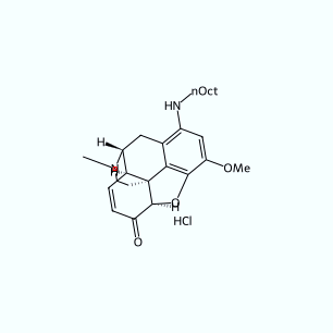 CCCCCCCCNc1cc(OC)c2c3c1C[C@@H]1[C@@H]4C=CC(=O)[C@H](O2)[C@]34CCN1C.Cl